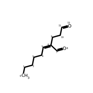 CCCCCC=C(C=O)CCC=O